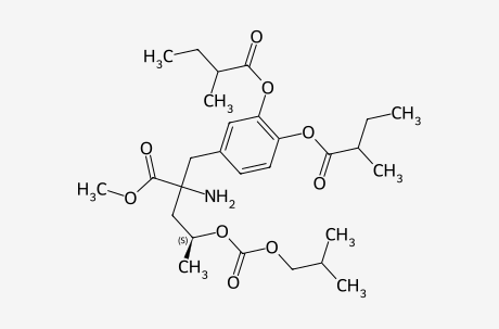 CCC(C)C(=O)Oc1ccc(CC(N)(C[C@H](C)OC(=O)OCC(C)C)C(=O)OC)cc1OC(=O)C(C)CC